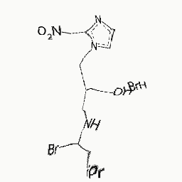 Br.CC(C)C(Br)NCC(O)Cn1ccnc1[N+](=O)[O-]